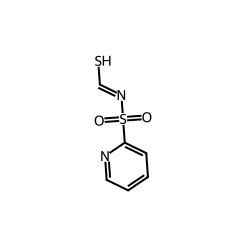 O=S(=O)(/N=C/S)c1ccccn1